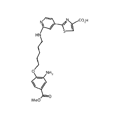 COC(=O)c1ccc(OCCCCCNc2cc(-c3nc(C(=O)O)cs3)ccn2)c(N)c1